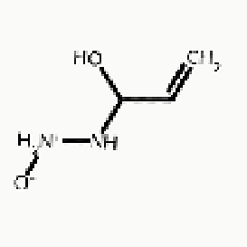 C=CC(O)N[NH2+][O-]